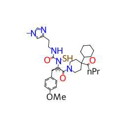 CCCC(=O)C1(C2CCCCC2)CCN(C(=O)[C@@H](Cc2ccc(OC)cc2)N(S)C(=O)NCCc2cn(C)cn2)CC1